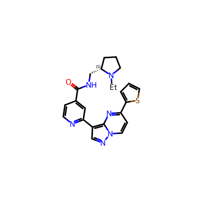 CCN1CCC[C@H]1CNC(=O)c1ccnc(-c2cnn3ccc(-c4cccs4)nc23)c1